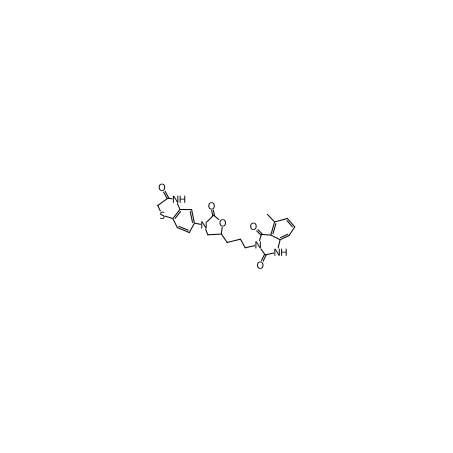 Cc1cccc2[nH]c(=O)n(CCCC3CN(c4ccc5c(c4)NC(=O)CS5)C(=O)O3)c(=O)c12